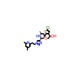 Cc1cc(C)nc(CCn2cc([C@@H]3C[C@]4(C[C@H](C)N3)OC[C@@H](O)c3cc(Cl)sc34)nn2)c1